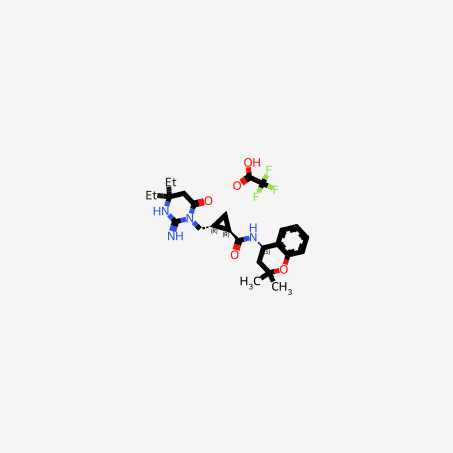 CCC1(CC)CC(=O)N(C[C@@H]2C[C@H]2C(=O)N[C@H]2CC(C)(C)Oc3ccccc32)C(=N)N1.O=C(O)C(F)(F)F